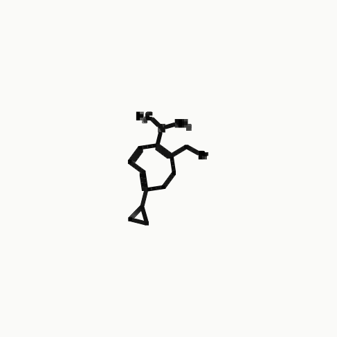 CN(N)C1=C(\CBr)CC/C(C2CC2)=C/C=C\1